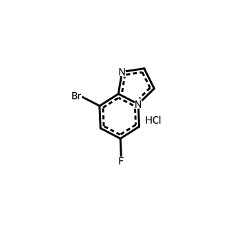 Cl.Fc1cc(Br)c2nccn2c1